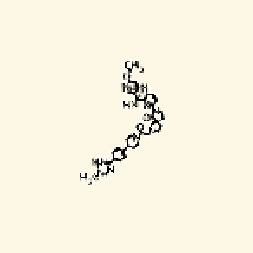 CCOc1ccc(C(=N)c2nc(N3CC[C@]4(CCN(CC(=O)N5CC=C(c6ccc(C(=N)/N=C\NC)cc6)CC5)C4)C3=O)ccc2N)cn1